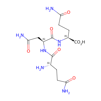 NC(=O)CC[C@H](NC(=O)[C@H](CC(N)=O)NC(=O)[C@@H](N)CCC(N)=O)C(=O)O